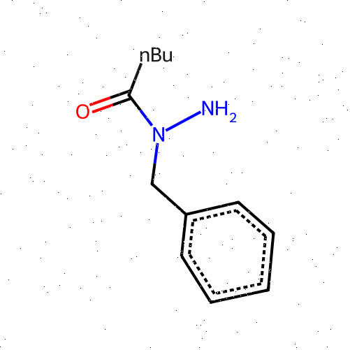 CCCCC(=O)N(N)Cc1ccccc1